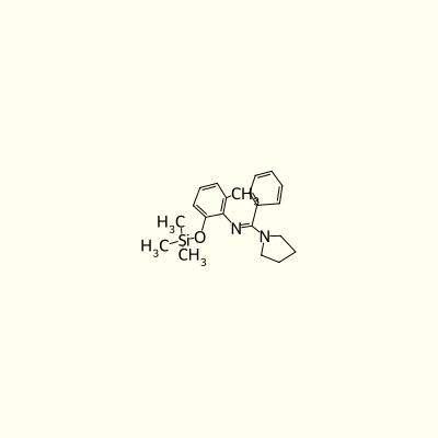 Cc1cccc(O[Si](C)(C)C)c1N=C(c1ccccc1)N1CCCC1